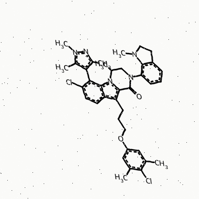 Cc1cc(OCCCc2c3n(c4c(-c5c(C)nn(C)c5C)c(Cl)ccc24)C(C)CN(c2cccc4c2N(C)CC4)C3=O)cc(C)c1Cl